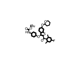 Cc1cc(F)cc(C)c1C(=O)c1sc2cc(OC3CCCCO3)ccc2c1Oc1ccc(NC(=O)OC(C)(C)C)cc1